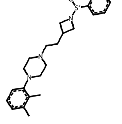 Cc1cccc(N2CCN(CCC3CN([S+]([O-])c4cccnc4)C3)CC2)c1C